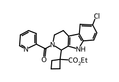 CCOC(=O)C1(C2c3[nH]c4ccc(Cl)cc4c3CCN2C(=O)c2ccccn2)CCC1